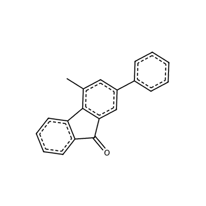 Cc1cc(-c2ccccc2)cc2c1-c1ccccc1C2=O